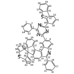 c1ccc(-c2nc(-c3ccc4nc(-c5ccccc5)c5ccc6c(c5c4c3)-c3ccccc3C63c4ccccc4Sc4ccccc43)nc(-c3cccc4c3sc3ccccc34)n2)cc1